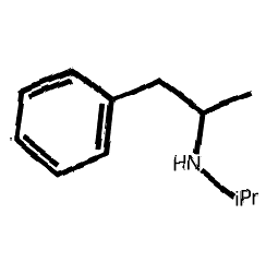 CC(C)NC(C)Cc1cc[c]cc1